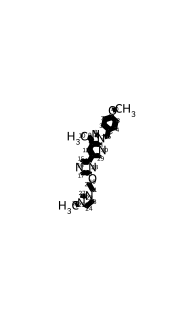 COc1ccc(Cn2nc(C)c3cc(-c4cncc(OCCN5CCN(C)C5)n4)cnc32)cc1